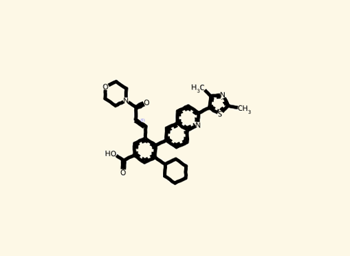 Cc1nc(C)c(-c2ccc3cc(-c4c(/C=C/C(=O)N5CCOCC5)cc(C(=O)O)cc4C4CCCCC4)ccc3n2)s1